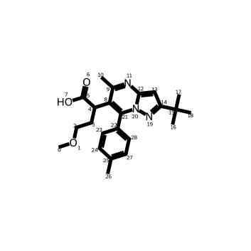 COCCC(C(=O)O)c1c(C)nc2cc(C(C)(C)C)nn2c1-c1ccc(C)cc1